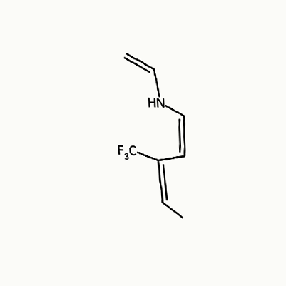 C=CN/C=C\C(=C/C)C(F)(F)F